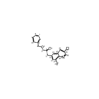 O=C(COCc1ccccc1)Cc1cc(F)c2ncc(Cl)cc2c1